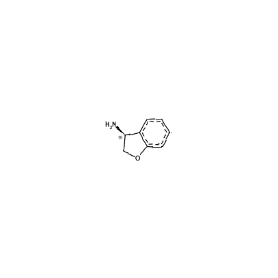 N[C@@H]1COc2c[c]ccc21